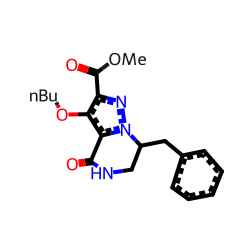 CCCCOc1c(C(=O)OC)nn2c1C(=O)NCC2Cc1ccccc1